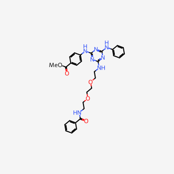 COC(=O)c1ccc(Nc2nc(NCCOCCOCCNC(=O)c3ccccc3)nc(Nc3ccccc3)n2)cc1